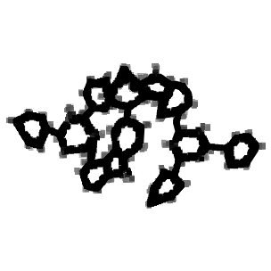 c1ccc(-c2nc(-c3ccccc3)nc(-c3ccc4sc5cccc(-c6ccc7oc8cccc(-c9nc(-c%10ccccc%10)nc(-c%10ccccc%10)n9)c8c7c6)c5c4c3)n2)cc1